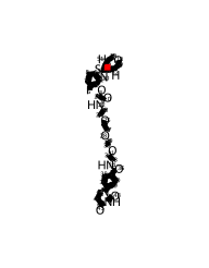 O=C(COc1c(F)ccc2sc(N3[C@@H]4CC[C@H]3COC4)nc12)NCCOCCOCCOCCNC(=O)c1ccc(N2CCC(=O)NC2=O)cc1